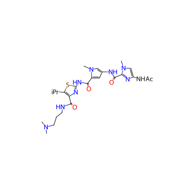 CC(=O)Nc1cn(C)c(C(=O)Nc2cc(C(=O)Nc3nc(C(=O)NCCCN(C)C)c(C(C)C)s3)n(C)c2)n1